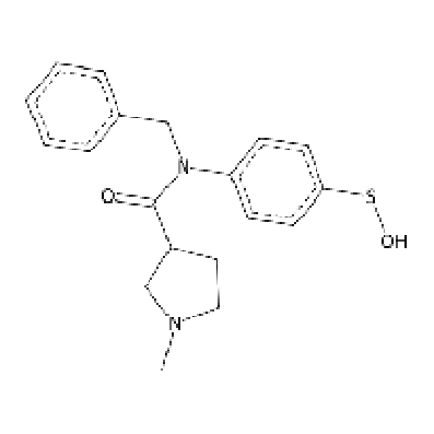 CN1CCC(C(=O)N(Cc2ccccc2)c2ccc(SO)cc2)C1